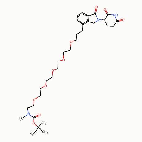 CN(CCOCCOCCOCCOCCOCCCc1cccc2c1CN(C1CCC(=O)NC1=O)C2=O)C(=O)OC(C)(C)C